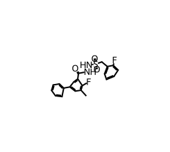 Cc1cc(-c2ccccc2)cc(C(=O)NNS(=O)(=O)Cc2ccccc2F)c1F